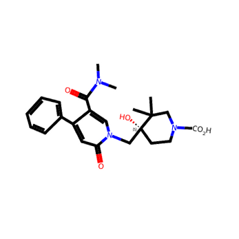 CN(C)C(=O)c1cn(C[C@]2(O)CCN(C(=O)O)CC2(C)C)c(=O)cc1-c1ccccc1